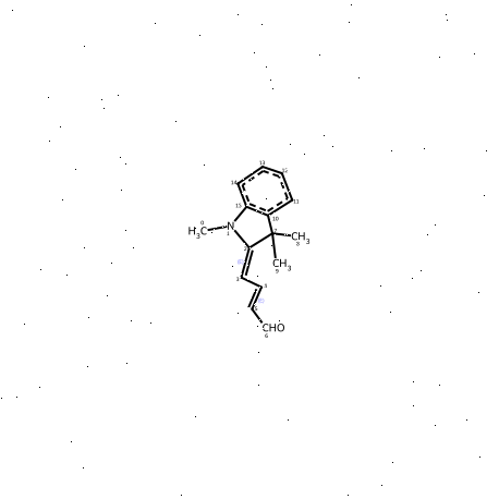 CN1/C(=C/C=C/C=O)C(C)(C)c2ccccc21